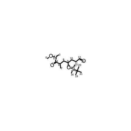 CON(C)C(=O)C(C)CC(CCC=O)O[Si](C)(C)C(C)(C)C